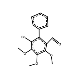 COc1c(Br)c(-c2ccccc2)c(C=O)c(OC)c1OC